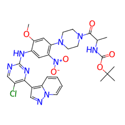 COc1cc(N2CCN(C(=O)C(C)NC(=O)OC(C)(C)C)CC2)c([N+](=O)[O-])cc1Nc1ncc(Cl)c(-c2cnn3ccccc23)n1